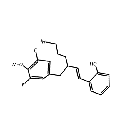 [3H]CCCC(/C=C/c1ccccc1O)Cc1cc(F)c(OC)c(F)c1